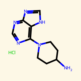 Cl.NC1CCN(c2ncnc3nc[nH]c23)CC1